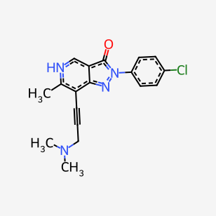 Cc1[nH]cc2c(=O)n(-c3ccc(Cl)cc3)nc-2c1C#CCN(C)C